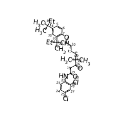 CCC(C)(C)c1ccc(OCCCSC(C)(C)C(=O)CC(=O)Nc2ccc(Cl)cc2Cl)c(C(C)(C)CC)c1